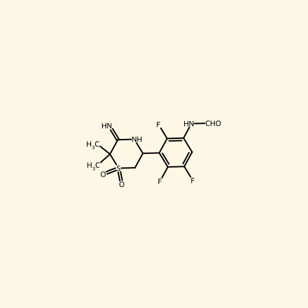 CC1(C)C(=N)NC(c2c(F)c(F)cc(NC=O)c2F)CS1(=O)=O